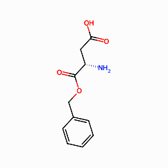 N[C@@H](CC(=O)O)C(=O)OCc1ccccc1